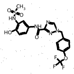 CS(=O)(=O)Nc1cc(NC(=O)c2ncn(Cc3ccc(OC(F)(F)F)cc3)n2)ccc1O